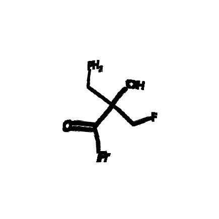 CC(C)C(=O)C(O)(CF)CP